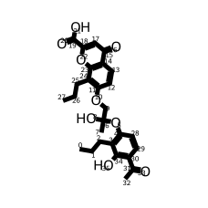 CCCc1c(OC(C)(O)COc2ccc3c(=O)cc(C(=O)O)oc3c2CCC)ccc(C(C)=O)c1O